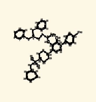 CCCC(CCN(Cc1ccccc1)Cc1ccccc1)Oc1c(N2CCN(S(=O)(=O)Cc3ccccc3)CC2)cnn(-c2ccc(F)cc2)c1=O